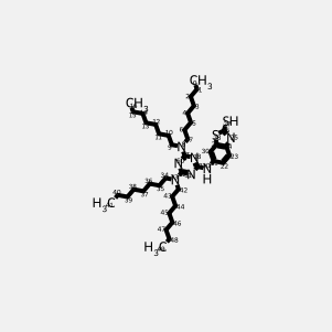 CCCCCCCCN(CCCCCCCC)c1nc(Nc2ccc3nc(S)sc3c2)nc(N(CCCCCCCC)CCCCCCCC)n1